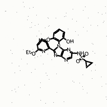 CCOC1=NC(c2nc3ncc(NS(=O)(=O)C4CC4)nc3n2-c2c(O)cccc2OC)=C=C=C1